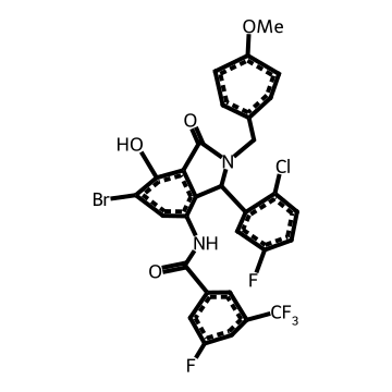 COc1ccc(CN2C(=O)c3c(O)c(Br)cc(NC(=O)c4cc(F)cc(C(F)(F)F)c4)c3C2c2cc(F)ccc2Cl)cc1